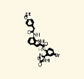 CCOc1ccc(CC(=O)Nc2cccc3cc(C(=O)Nc4ccc(Br)cc4-c4noc(=O)[nH]4)[nH]c23)cc1